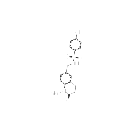 CCCN1C(=O)CCc2cc(CNS(=O)(=O)c3ccc(Cl)cc3)ccc21